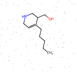 CCCCCC1=CCNCC1CO